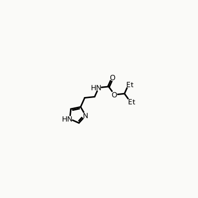 CCC(CC)OC(=O)NCCc1c[nH]cn1